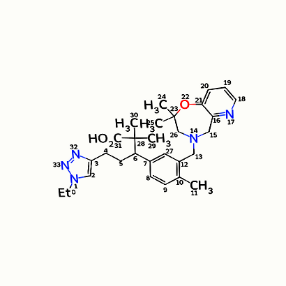 CCn1cc(CCC(c2ccc(C)c(CN3Cc4ncccc4OC(C)(C)C3)c2)C(C)(C)C(=O)O)nn1